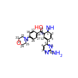 N=C1C=CC(c2ccnc(N)n2)=C/C1=C(/O)c1ccc(N2CCOCC2)cc1